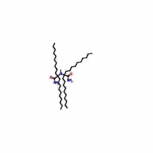 CCCCCCCCCCC(CCCCCCCCCC)(C(N)=O)N(C)C(CCCCCCCCCC)(CCCCCCCCCC)C(N)=O